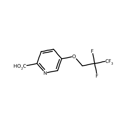 O=C(O)c1ccc(OCC(F)(F)C(F)(F)F)cn1